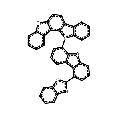 c1ccc2oc(-c3cccc4oc5c(-n6c7ccccc7c7ccc8oc9ccccc9c8c76)cccc5c34)nc2c1